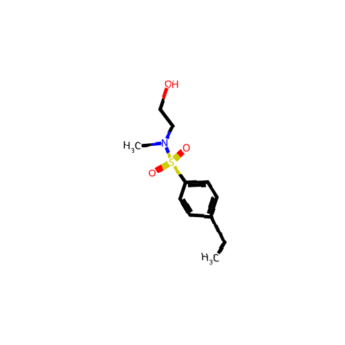 CCc1ccc(S(=O)(=O)N(C)CCO)cc1